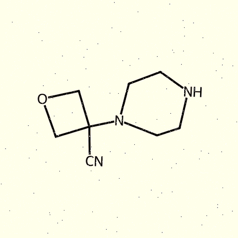 N#CC1(N2CCNCC2)COC1